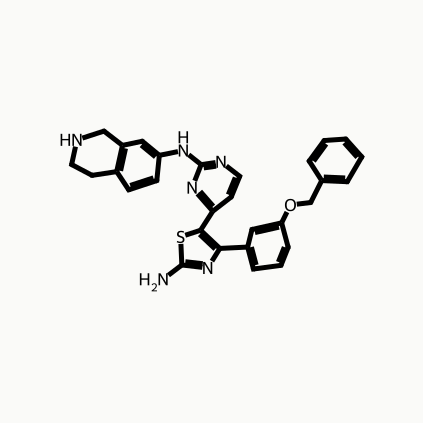 Nc1nc(-c2cccc(OCc3ccccc3)c2)c(-c2ccnc(Nc3ccc4c(c3)CNCC4)n2)s1